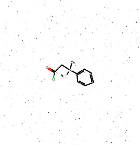 C[Si](C)(CC(=O)Cl)c1ccccc1